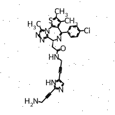 Cc1sc2c(c1C)C(c1ccc(Cl)cc1)=N[C@@H](CC(=O)NCC#Cc1cnc(C#CCN)[nH]1)c1nnc(C)n1-2